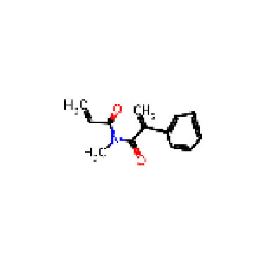 C=CC(=O)N(C)C(=O)C(=C)c1ccccc1